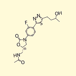 CC(=O)NC[C@H]1CN(c2ccc(-c3nnc(CCC(C)O)s3)c(F)c2)C(=O)O1